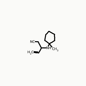 C=CC(CC#N)NC1(C)CCCCC1